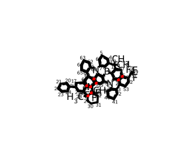 CC1(C)c2cccc3c2B2c4c(cc(N5c6ccc(-c7ccccc7)cc6C6(C)CCCCC56C)cc4N(c4ccccc4-c4ccc(C(F)(F)F)cc4)c4cccc1c42)N3c1ccccc1-c1ccc(C(F)(F)F)cc1